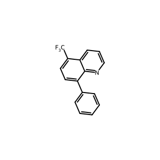 FC(F)(F)c1ccc(-c2ccccc2)c2ncccc12